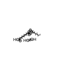 CCCCCC=NS(=O)(=O)OC(=O)CCCCCCCC(=O)O.OCCO